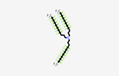 FC(F)(F)C(F)(F)C(F)(F)C(F)(F)C(F)(F)C(F)(F)C(F)(F)C(F)(F)CCCN(CCCC(F)(F)C(F)(F)C(F)(F)C(F)(F)C(F)(F)C(F)(F)C(F)(F)C(F)(F)F)CCCC(F)(F)C(F)(F)C(F)(F)C(F)(F)C(F)(F)C(F)(F)C(F)(F)C(F)(F)F